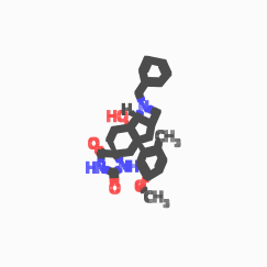 COc1ccc(C)c([C@]23CC4CN(Cc5ccccc5)[C@H]4[C@]2(O)CC[C@@]2(C3)NC(=O)NC2=O)c1